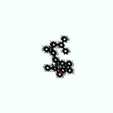 c1ccc(-c2cc(-c3ccccc3)cc(-c3cccc(-n4c5ccccc5c5cc(-c6ccc7c(c6)c6ccc8c(c6n7-c6nc(-c7ccccc7)cc(-c7ccccc7)n6)-c6ccccc6C86c7ccccc7-c7ccccc76)ccc54)c3)c2)cc1